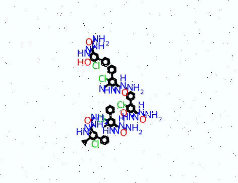 COc1c(Cl)c(-c2ccccc2)cc2c(NC(N)=O)n[nH]c12.Cc1c(Cl)c(-c2ccccc2)cc2c(NC(N)=O)n[nH]c12.N#Cc1c(Cl)c(-c2ccccc2)cc2c(NC(N)=O)n[nH]c12.NC(=O)Nc1n[nH]c2c(C3CC3)c(Cl)c(-c3ccccc3)cc12.NC(=O)Nc1n[nH]c2c(O)c(Cl)c(-c3ccccc3)cc12